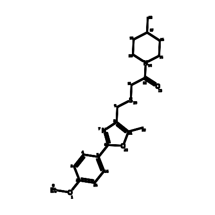 CCOc1ccc(-c2nc(CSCC(=O)N3CCC(C)CC3)c(C)o2)cc1